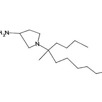 CCCCCCC(C)(CCCC)N1CCC(N)C1